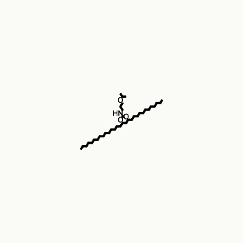 CCCCCCCCCCCCCCCC(CCCCCCCCCCCCCC)OC(=O)NCCCOC(C)C